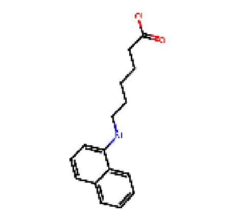 O=C(O)CCCCCNc1cccc2ccccc12